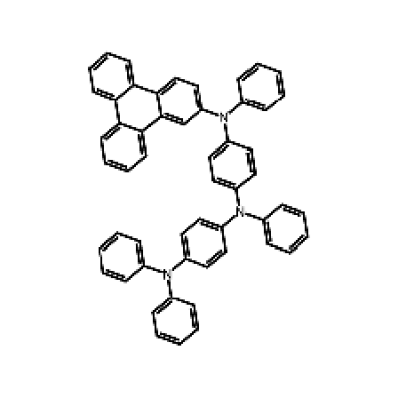 c1ccc(N(c2ccccc2)c2ccc(N(c3ccccc3)c3ccc(N(c4ccccc4)c4ccc5c6ccccc6c6ccccc6c5c4)cc3)cc2)cc1